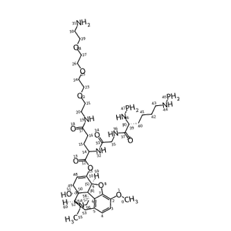 COc1ccc2c3c1O[C@@H]1C(OC(=O)C(CCC(=O)NCCOCCOCCOCCN)NC(=O)CNC(=O)[C@@H](CCCCNP)NP)=CC[C@]4(O)[C@H](C2)N(C)CC[C@@]314